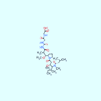 CCC(C)C(C(CC(=O)N1CCCC1C(OC)C(C)C(=O)NC(=O)NCC(=O)NCC(=O)O)OC)N(C)C(=O)CC(C)C